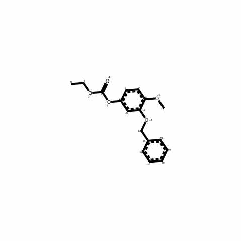 CCOC(=O)Oc1ccc(OC)c(OCc2ccccc2)c1